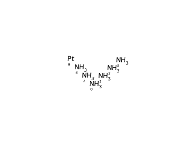 N.N.N.N.N.N.[Pt]